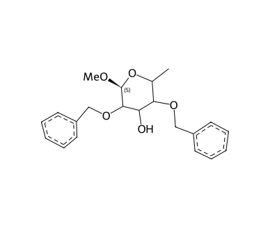 CO[C@H]1OC(C)C(OCc2ccccc2)C(O)C1OCc1ccccc1